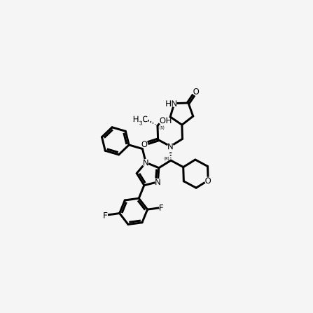 C[C@H](O)C(=O)N(CC1CNC(=O)C1)[C@@H](c1nc(-c2cc(F)ccc2F)cn1Cc1ccccc1)C1CCOCC1